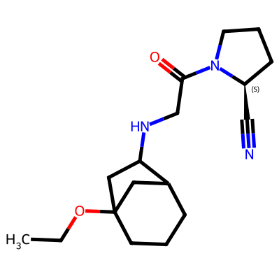 CCOC12CCCC(C1)C(NCC(=O)N1CCC[C@H]1C#N)C2